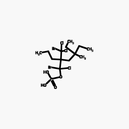 CCCC(CC(C)(CC)CC)(C(Cl)(Cl)Br)C(Cl)(Br)OP(=O)(O)O